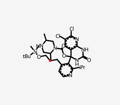 CC1CN(C(=O)OC2(c3c(CCCO[Si](C)(C)C(C)(C)C)ccnc3C(C)C)NC(=O)Nc3nc(Cl)c(Cl)cc32)C(C)CN1